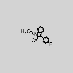 CCCn1c(C=O)c(-c2ccc(F)cc2)c2ccccc21